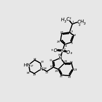 CC(C)c1ccc(S(=O)(=O)n2cc(CN3CCNCC3)c3ccccc32)cc1